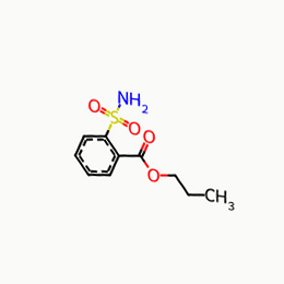 CCCOC(=O)c1ccccc1S(N)(=O)=O